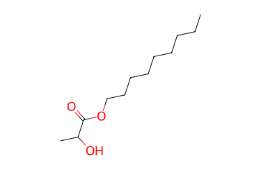 CCCCCCCCCOC(=O)C(C)O